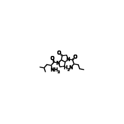 CCCC(N)C(=O)N1CC(=O)C2C1CCN2C(=O)C(N)CC(C)C